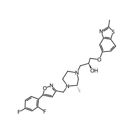 Cc1nc2cc(OC[C@@H](O)CN3CCN(Cc4cc(-c5ccc(F)cc5F)on4)[C@@H](C)C3)ccc2s1